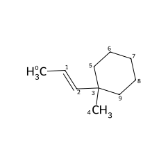 CC=CC1(C)CCCCC1